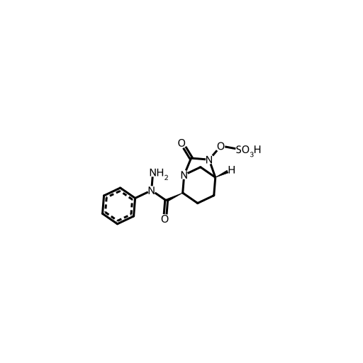 NN(C(=O)[C@@H]1CC[C@@H]2CN1C(=O)N2OS(=O)(=O)O)c1ccccc1